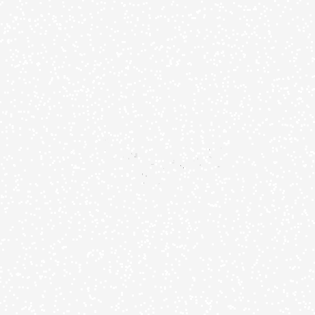 O=S1(=O)CCC(NCc2cccc(CNC3CCS(=O)(=O)C3)c2)C1